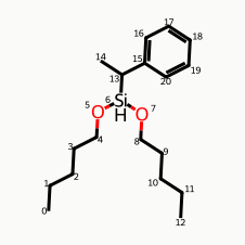 CCCCCO[SiH](OCCCCC)C(C)c1ccccc1